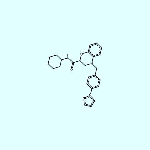 O=C(NC1CCCCC1)C1CN(Cc2ccc(-n3cccn3)cc2)c2ccccc2O1